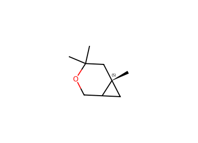 CC1(C)C[C@]2(C)CC2CO1